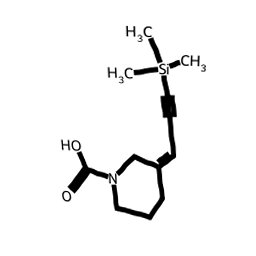 C[Si](C)(C)C#C/C=C1/CCCN(C(=O)O)C1